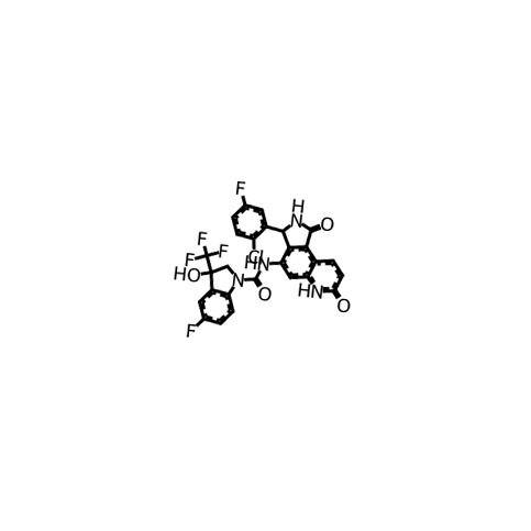 O=C1NC(c2cc(F)ccc2Cl)c2c(NC(=O)N3CC(O)(C(F)(F)F)c4cc(F)ccc43)cc3[nH]c(=O)ccc3c21